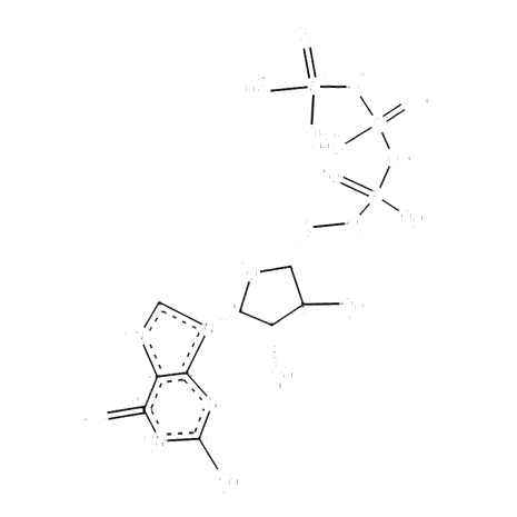 Cc1nc2c(ncn2[C@@H]2O[C@H](COP(=O)(O)OP(=O)(O)OP(=O)(O)O)C(O)[C@@H]2O)c(=O)[nH]1